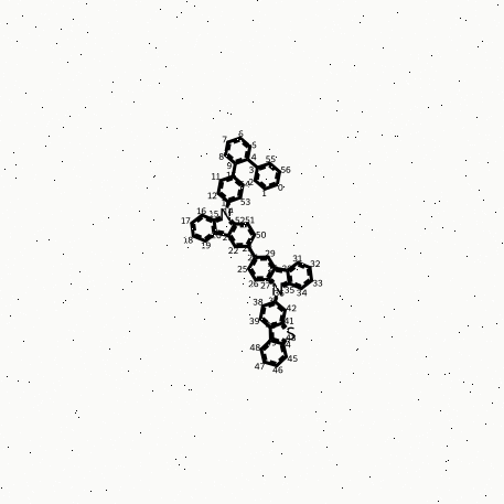 c1ccc(-c2ccccc2-c2ccc(-n3c4ccccc4c4cc(-c5ccc6c(c5)c5ccccc5n6-c5ccc6c(c5)sc5ccccc56)ccc43)cc2)cc1